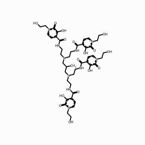 CC(CN(CCNC(=O)c1ccn(CCO)c(=O)c1O)CCNC(=O)c1ccn(CCO)c(=O)c1O)CN(CCNC(=O)c1ccn(CCO)c(=O)c1O)CCNC(=O)c1ccn(CCO)c(=O)c1O